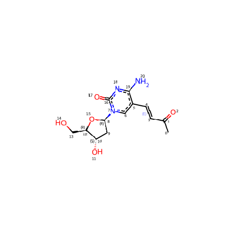 CC(=O)/C=C/c1cn([C@H]2C[C@H](O)[C@@H](CO)O2)c(=O)nc1N